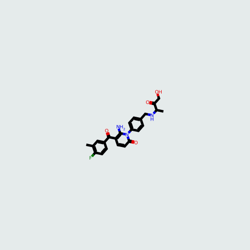 Cc1cc(C(=O)c2ccc(=O)n(-c3ccc(CNC(C)C(=O)CO)cc3)c2N)ccc1F